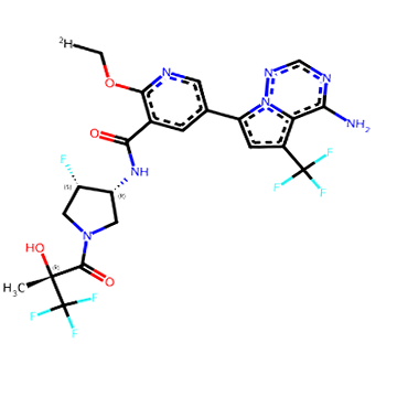 [2H]COc1ncc(-c2cc(C(F)(F)F)c3c(N)ncnn23)cc1C(=O)N[C@@H]1CN(C(=O)[C@@](C)(O)C(F)(F)F)C[C@@H]1F